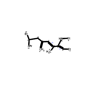 C=C(/C=C(C)/C(=C/CC)NCC)CC(CC)CCC